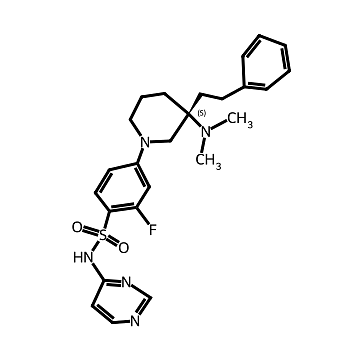 CN(C)[C@@]1(CCc2ccccc2)CCCN(c2ccc(S(=O)(=O)Nc3ccncn3)c(F)c2)C1